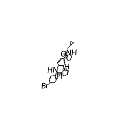 O=S(=O)(NCC1CC1)c1ccc2c(c1)[C@H]1C=CC[C@H]1[C@@H](c1ccc(Br)cc1)N2